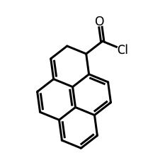 O=C(Cl)C1CC=c2ccc3cccc4ccc1c2c43